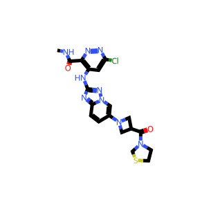 CNC(=O)c1nnc(Cl)cc1Nc1nc2ccc(N3CC(C(=O)N4CCSC4)C3)cn2n1